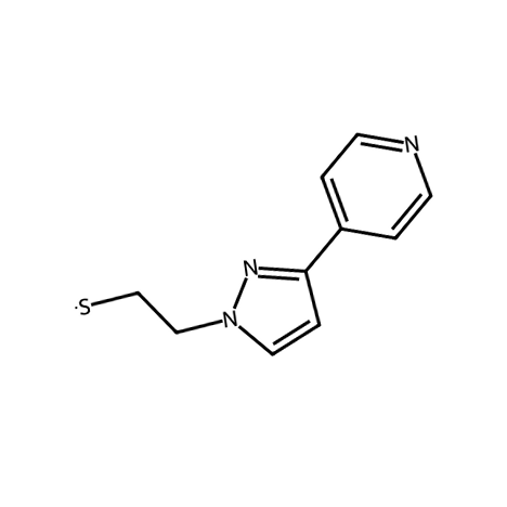 [S]CCn1ccc(-c2ccncc2)n1